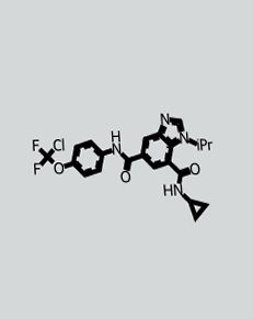 CC(C)n1cnc2cc(C(=O)Nc3ccc(OC(F)(F)Cl)cc3)cc(C(=O)NC3CC3)c21